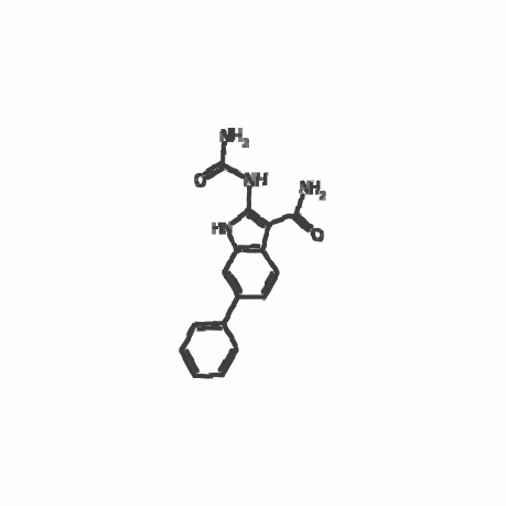 NC(=O)Nc1[nH]c2cc(-c3ccccc3)ccc2c1C(N)=O